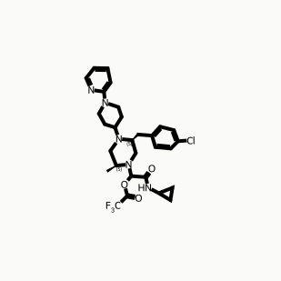 C[C@H]1CN(C2CCN(c3ccccn3)CC2)[C@@H](Cc2ccc(Cl)cc2)CN1C(OC(=O)C(F)(F)F)C(=O)NC1CC1